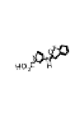 O=C(Cc1ccccc1F)Nc1ccnc(C(=O)O)c1